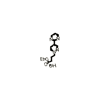 CCOP(=O)(O)CCC[n+]1ccc(-c2ncccn2)cn1